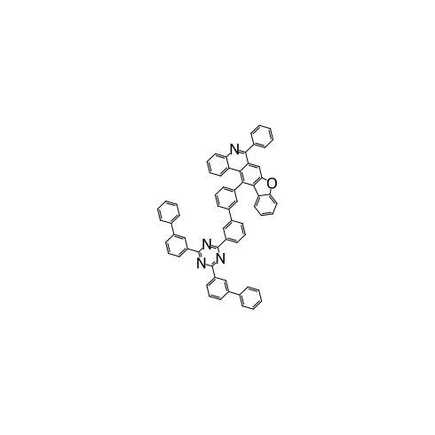 c1ccc(-c2cccc(-c3nc(-c4cccc(-c5ccccc5)c4)nc(-c4cccc(-c5cccc(-c6c7c(cc8c(-c9ccccc9)nc9ccccc9c68)oc6ccccc67)c5)c4)n3)c2)cc1